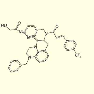 O=C(CO)Nc1ccc(CN(C(=O)C=Cc2ccc(C(F)(F)F)cc2)C(Cc2ccccc2)C(=O)N2CCN(Cc3ccccc3)CC2)cn1